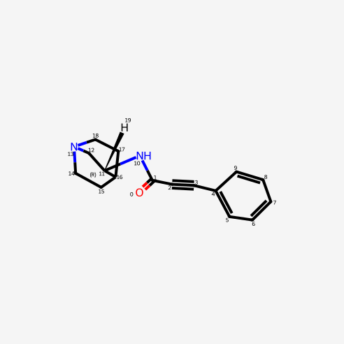 O=C(C#Cc1ccccc1)N[C@H]1CN2CCC1CC2